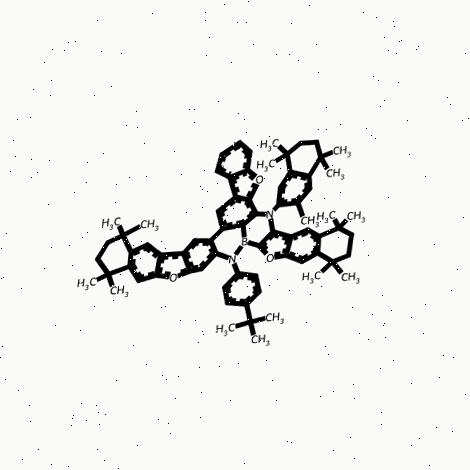 Cc1cc2c(cc1N1c3c(oc4cc5c(cc34)C(C)(C)CCC5(C)C)B3c4c(cc5c(oc6ccccc65)c41)-c1cc4c(cc1N3c1ccc(C(C)(C)C)cc1)oc1cc3c(cc14)C(C)(C)CCC3(C)C)C(C)(C)CCC2(C)C